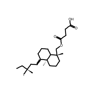 CC[C@@](C)(I)C/C=C1\CCCC2[C@](C)(COC(=O)CCC(=O)O)CCC[C@@]12C